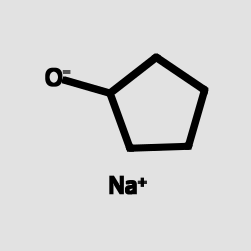 [Na+].[O-]C1CCCC1